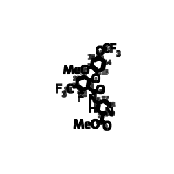 COC(=O)c1cc(NC(=O)c2c(Oc3ccc(OC(F)(F)F)cc3OC)ccc(C(F)(F)F)c2F)ccn1